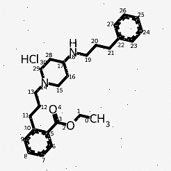 CCOC(=O)c1ccccc1CCCN1CCC(NCCCc2ccccc2)CC1.Cl